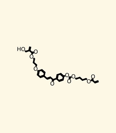 C=CC(=O)OCCCCOC(=O)Oc1ccc(C(=O)/C=C/c2ccc(OCCCOC(=O)C(=C)CO)cc2)cc1